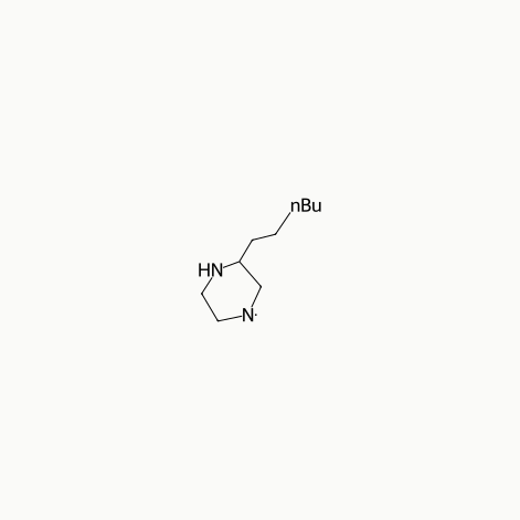 CCCCCCC1C[N]CCN1